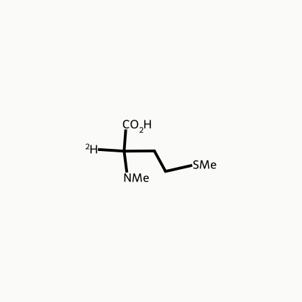 [2H]C(CCSC)(NC)C(=O)O